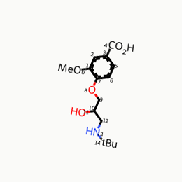 COc1cc(C(=O)O)ccc1OCC(O)CNC(C)(C)C